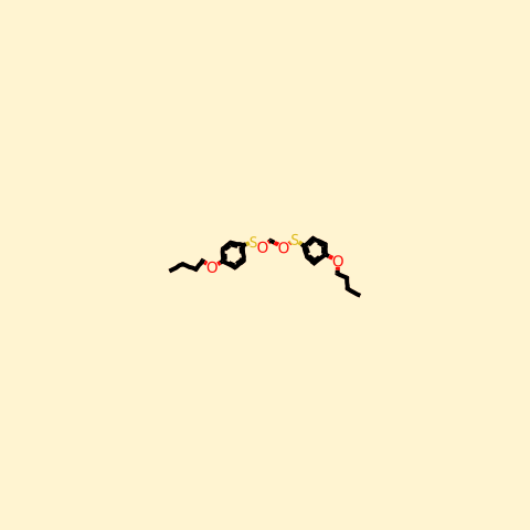 CCCCOc1ccc(SOCOSc2ccc(OCCCC)cc2)cc1